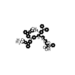 CCCCC1(CCCC)c2ccccc2-c2ccc(N(c3ccc(-c4cc(-c5ccc(N(c6ccccc6)c6ccccc6)cc5)c(-c5ccc(-c6ccc(/C=C7\C(=O)N(c8ccccc8)N=C7C(=O)O)s6)s5)s4)cc3)c3ccc4c(c3)C(CCCC)(CCCC)c3ccccc3-4)cc21